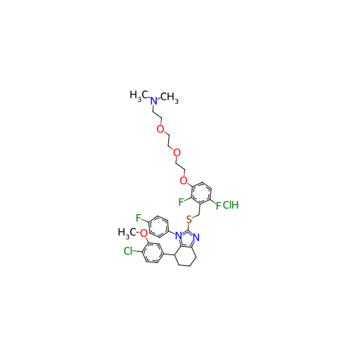 COc1cc(C2CCCc3nc(SCc4c(F)ccc(OCCOCCOCCN(C)C)c4F)n(-c4ccc(F)cc4)c32)ccc1Cl.Cl